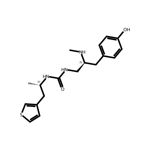 CN[C@H](CNC(=O)N[C@@H](C)Cc1ccsc1)Cc1ccc(O)cc1